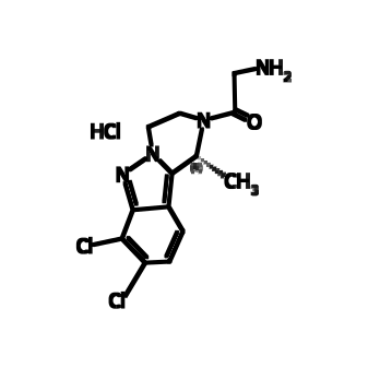 C[C@@H]1c2c3ccc(Cl)c(Cl)c3nn2CCN1C(=O)CN.Cl